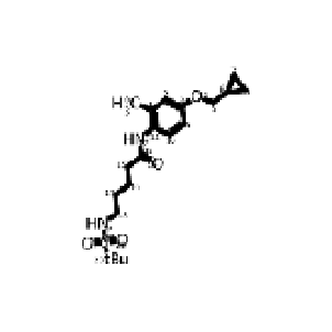 Cc1cc(OCC2CC2)ccc1NC(=O)CCCCNS(=O)(=O)C(C)(C)C